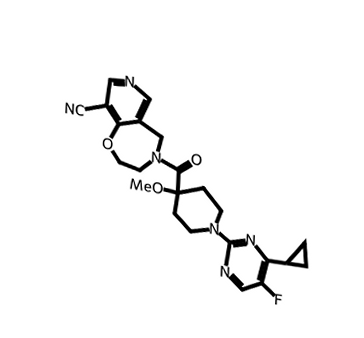 COC1(C(=O)N2CCOc3c(C#N)cncc3C2)CCN(c2ncc(F)c(C3CC3)n2)CC1